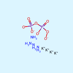 N.N.N.N.O=P([O-])([O-])OP(=O)([O-])O[O-].[K+].[K+].[K+].[K+]